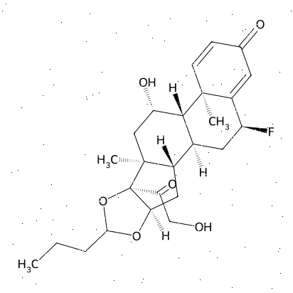 CCCC1O[C@@H]2C[C@H]3[C@@H]4C[C@H](F)C5=CC(=O)C=C[C@]5(C)[C@H]4[C@@H](O)C[C@]3(C)[C@]2(C(=O)CO)O1